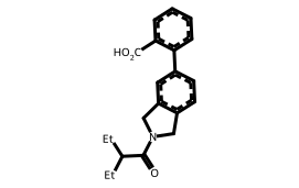 CCC(CC)C(=O)N1Cc2ccc(-c3ccccc3C(=O)O)cc2C1